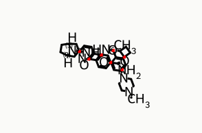 C[C@H](NC(=O)c1ccc(N2[C@@H]3CC[C@H]2C[C@@H](NC(=O)c2ccc(C(N)=O)c(OC4CCC4)c2)C3)nc1)c1ccc(N2CCN(C)CC2)cc1